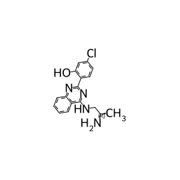 C[C@@H](N)CNc1nc(-c2ccc(Cl)cc2O)nc2ccccc12